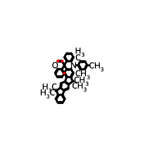 Cc1cc(C)c(N2c3ccccc3C3(c4ccccc4Oc4ccccc43)c3cc4c(cc32)C(C)(C)c2cc3c(cc2-4)C(C)(C)c2ccccc2-3)c(C)c1